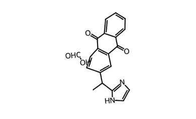 CC(c1ccc2c(c1)C(=O)c1ccccc1C2=O)c1ncc[nH]1.O=CO